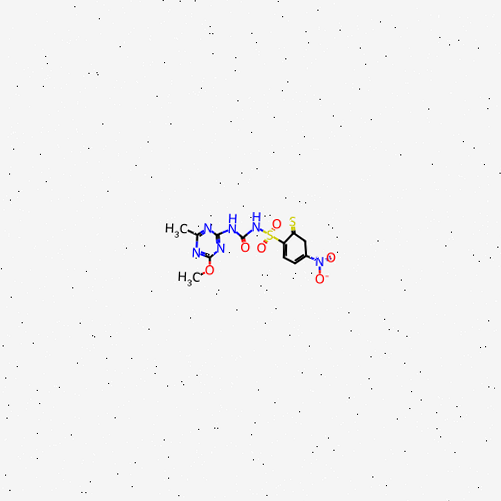 COc1nc(C)nc(NC(=O)NS(=O)(=O)C2=CC=C([N+](=O)[O-])CC2=S)n1